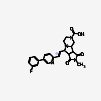 CN1C(=O)C2C(C1=O)C1CN(C(=O)O)CCN1C2/C=C/c1ccc(-c2cccc(F)c2)cn1